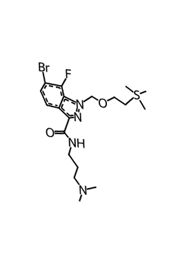 CN(C)CCCNC(=O)c1nn(COCCS(C)(C)C)c2c(F)c(Br)ccc12